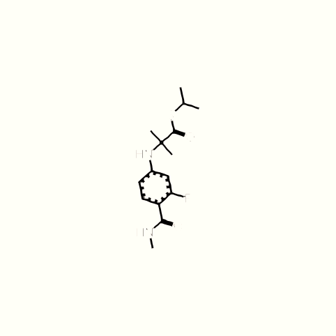 CNC(=O)c1ccc(NC(C)(C)C(=O)SC(C)C)cc1F